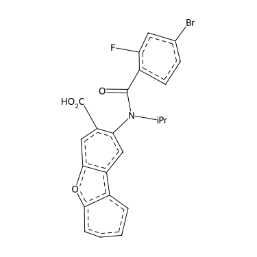 CC(C)N(C(=O)c1ccc(Br)cc1F)c1cc2c(cc1C(=O)O)oc1ccccc12